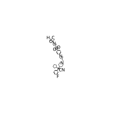 C=CC(=O)N1CC(S(=O)(=O)c2ccc(N3CC(CN4CCC([C@@](C#N)(c5cccc(F)c5)C5CCCC5)CC4)C3)cc2)C1